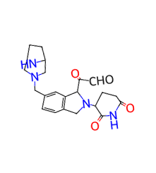 O=CC(=O)C1c2cc(CN3CC4CCC(C3)N4)ccc2CN1C1CCC(=O)NC1=O